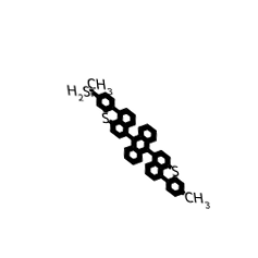 C[SiH2]c1ccc2c(c1)Sc1ccc(-c3c4ccccc4c(-c4ccc5c6c(cccc46)-c4ccc(C)cc4S5)c4ccccc34)c3cccc-2c13